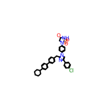 O=C1CN(c2ccc(-n3cc(-c4ccc(Cl)cc4)nc3Cc3ccc(-c4ccc(C5CCCCC5)cc4)cc3)cc2)S(=O)(=O)N1